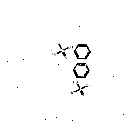 OP(O)(O)=S.OP(O)(O)=S.[Cu].c1ccccc1.c1ccccc1